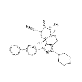 C[C@H]1C(=O)C(C#N)=C[C@@]2(C)c3c(c(C4CCOCC4)nn3-c3ccc(-c4ccccc4)cc3)CC[C@H]12